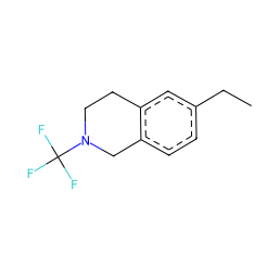 CCc1ccc2c(c1)CCN(C(F)(F)F)C2